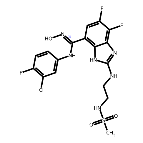 CS(=O)(=O)NCCNc1nc2c(F)c(F)cc(/C(=N/O)Nc3ccc(F)c(Cl)c3)c2[nH]1